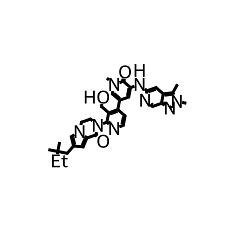 CCC(C)(C)Cc1cc2n(c1)CCN(c1nccc(-c3cc(Nc4cc5c(C)n(C)nc5cn4)c(=O)n(C)c3)c1CO)C2=O